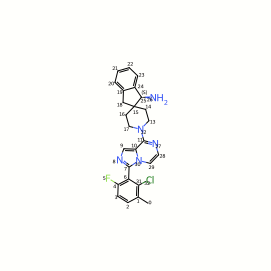 Cc1ccc(F)c(-c2ncc3c(N4CCC5(CC4)Cc4ccccc4[C@H]5N)nccn23)c1Cl